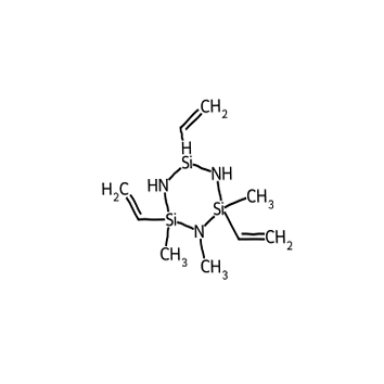 C=C[SiH]1N[Si](C)(C=C)N(C)[Si](C)(C=C)N1